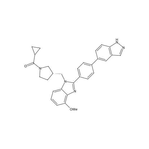 COc1cccc2c1nc(-c1ccc(-c3ccc4[nH]ncc4c3)cc1)n2C[C@@H]1CCN(C(=O)C2CC2)C1